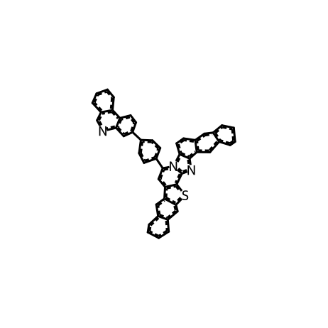 c1ccc2cc3c(ccc4c3nc3c5sc6cc7ccccc7cc6c5cc(-c5ccc(-c6ccc7c(c6)ncc6ccccc67)cc5)n43)cc2c1